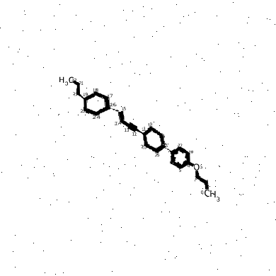 CCCOc1ccc([C@H]2CC[C@H](C#CC=C[C@H]3CC[C@H](CCC)CC3)CC2)cc1